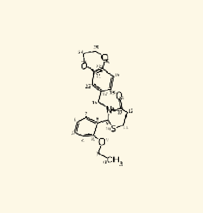 CCOc1ccccc1C1SCCC(=O)N1Cc1ccc2c(c1)OCCO2